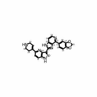 C1=C(c2ccc3[nH]nc(-c4nc5c(-c6ccc7c(c6)OCO7)nccc5[nH]4)c3n2)CCNC1